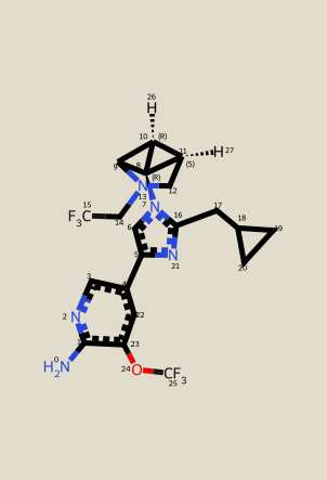 Nc1ncc(-c2cn([C@@]34C5[C@H]3[C@H]4CN5CC(F)(F)F)c(CC3CC3)n2)cc1OC(F)(F)F